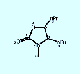 CCCCC1C(CCC)OC(=O)N1C